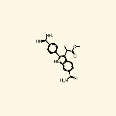 COC(=O)C(C)c1c(-c2ccc(C(=N)N)cc2)[nH]c2cc(C(=N)N)ccc12